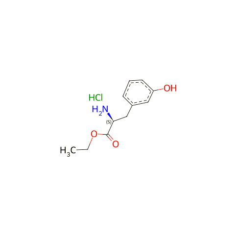 CCOC(=O)[C@@H](N)Cc1cccc(O)c1.Cl